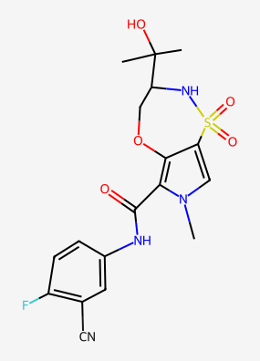 Cn1cc2c(c1C(=O)Nc1ccc(F)c(C#N)c1)OCC(C(C)(C)O)NS2(=O)=O